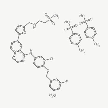 CS(=O)(=O)CCNCc1ccc(-c2ccc3ncnc(Nc4ccc(OCc5cccc(F)c5)c(Cl)c4)c3c2)o1.Cc1ccc(S(=O)(=O)O)cc1.Cc1ccc(S(=O)(=O)O)cc1.O